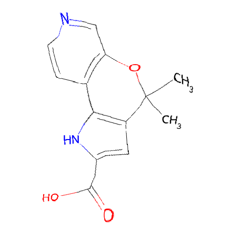 CC1(C)Oc2cnccc2-c2[nH]c(C(=O)O)cc21